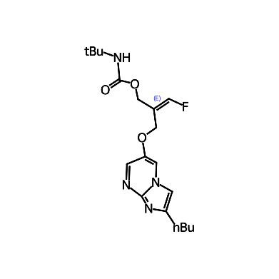 CCCCc1cn2cc(OC/C(=C\F)COC(=O)NC(C)(C)C)cnc2n1